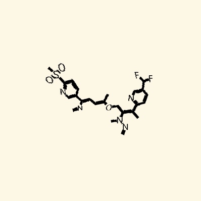 C=N/C(=C\C=C(/C)OC/C(=C(/C)c1ccc(C(F)F)cn1)N(C)N=C)c1ccc(S(C)(=O)=O)nc1